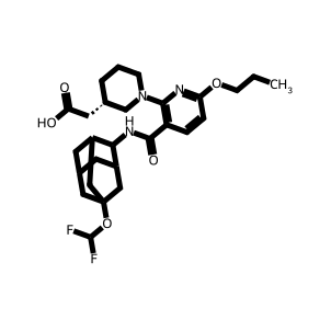 CCCOc1ccc(C(=O)NC2C3CC4CC2CC(OC(F)F)(C4)C3)c(N2CCC[C@@H](CC(=O)O)C2)n1